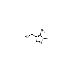 Bc1c(CO)cnn1C